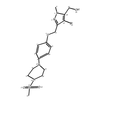 Cn1nc(COc2ccc(N3CCN(S(C)(=O)=O)CC3)cc2)c(Br)c1CO